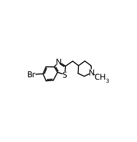 CN1CCC(Cc2nc3cc(Br)ccc3s2)CC1